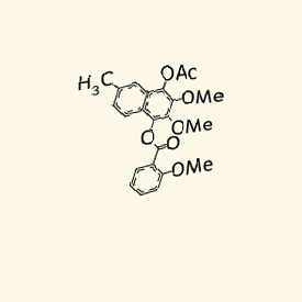 COc1ccccc1C(=O)Oc1c(OC)c(OC)c(OC(C)=O)c2cc(C)ccc12